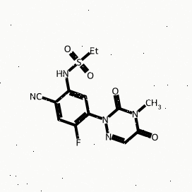 CCS(=O)(=O)Nc1cc(-n2ncc(=O)n(C)c2=O)c(F)cc1C#N